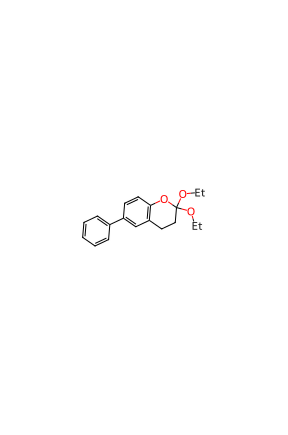 CCOC1(OCC)CCc2cc(-c3ccccc3)ccc2O1